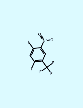 O=[N+]([O-])c1cc(C(F)(F)F)c(I)cc1I